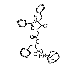 O=C(CCC(=O)[C@H](Cc1ccccc1)NC(=O)c1ccccc1)O[C@@H](Cc1ccccc1)C(=O)ONC12CC3CC(CC(C3)C1)C2